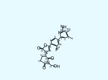 Cc1cc(-c2ccc(-c3cn(C4CCC(=O)N(CO)C4=O)c(=O)o3)c(F)c2)nc(N)c1C